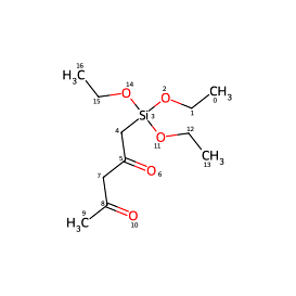 CCO[Si](CC(=O)CC(C)=O)(OCC)OCC